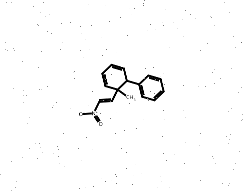 CC1(/C=C/[N+](=O)[O-])C=CC=CC1c1ccccc1